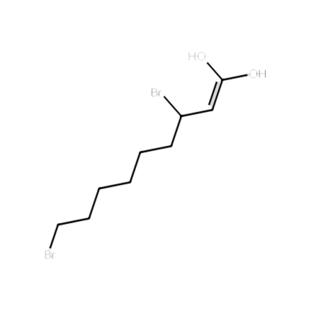 OC(O)=CC(Br)CCCCCCBr